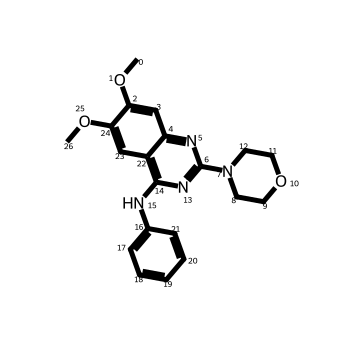 COc1cc2nc(N3CCOCC3)nc(Nc3ccccc3)c2cc1OC